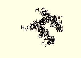 Cc1cc(O)c(C(=O)N[C@@H](C(=O)N[C@@H]2C(=O)N3C(C(=O)[O-])=C(CSc4nnnn4C)CS[C@H]23)c2ccc(O)cc2)cn1.Cc1nnc(SCC2=C(C(=O)O)N3C(=O)[C@@H](NC(=O)Cn4cnnn4)[C@H]3SC2)s1.[Na+]